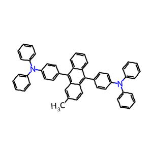 Cc1ccc2c(-c3ccc(N(c4ccccc4)c4ccccc4)cc3)c3ccccc3c(-c3ccc(N(c4ccccc4)c4ccccc4)cc3)c2c1